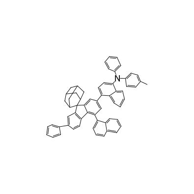 Cc1ccc(N(c2ccccc2)c2ccc(-c3cc(-c4cccc5ccccc45)c4c(c3)C3(c5cc(-c6ccccc6)ccc5-4)C4CC5CC(C4)CC3C5)c3ccccc23)cc1